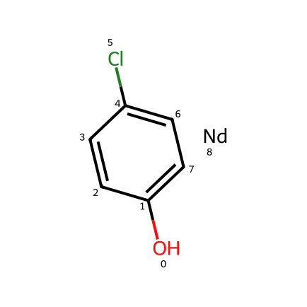 Oc1ccc(Cl)cc1.[Nd]